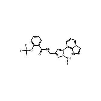 O=C(NCc1cc(-c2cccc3cn[nH]c23)n(PI)n1)c1ccccc1OC(F)(F)F